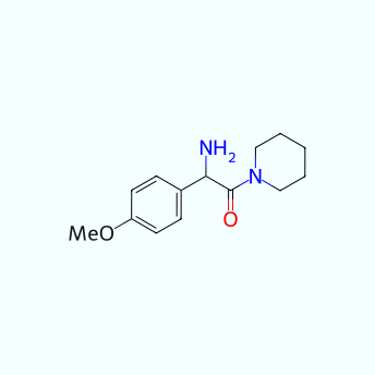 COc1ccc(C(N)C(=O)N2CCCCC2)cc1